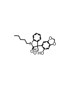 CCCCCN1C(=O)C(CO)(c2cc3c(cc2O)OCO3)c2ccccc21